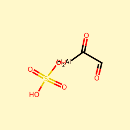 O=C[C](=O)[AlH2].O=S(=O)(O)O